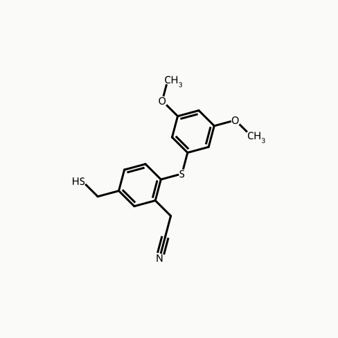 COc1cc(OC)cc(Sc2ccc(CS)cc2CC#N)c1